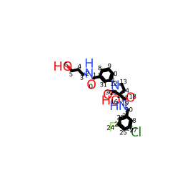 O=C(NCCCO)c1cccc(N2CCC(O)(C(=O)NCc3cc(F)cc(Cl)c3)C2=O)c1